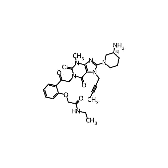 CC#CCn1c(N2CCC[C@H](N)C2)nc2c1c(=O)n(CC(=O)c1ccccc1OCC(=O)NCC)c(=O)n2C